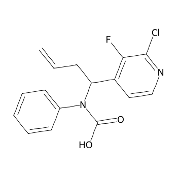 C=CCC(c1ccnc(Cl)c1F)N(C(=O)O)c1ccccc1